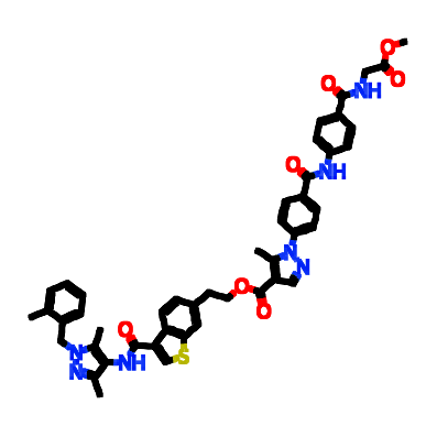 COC(=O)CNC(=O)c1ccc(NC(=O)c2ccc(-n3ncc(C(=O)OCCc4ccc5c(C(=O)Nc6c(C)nn(Cc7ccccc7C)c6C)csc5c4)c3C)cc2)cc1